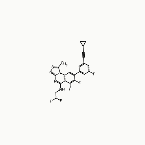 Cc1nnc2nc(NCC(F)F)c3c(F)c(F)c(-c4cc(F)cc(C#CC5CC5)c4)cc3n12